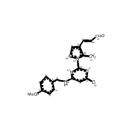 COc1ccc(CNc2cc(Cl)nc(-n3ncc(C=CC=O)c3C)n2)cc1